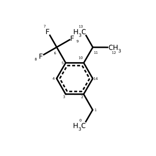 CCc1ccc(C(F)(F)F)c(C(C)C)c1